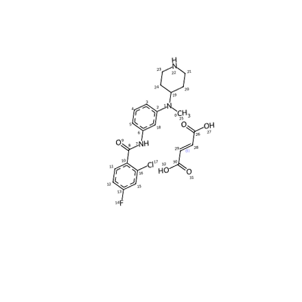 CN(c1cccc(NC(=O)c2ccc(F)cc2Cl)c1)C1CCNCC1.O=C(O)/C=C/C(=O)O